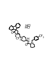 Cl.Cl.O=C(NC1CCN(CCCCC2(C(=O)NCC(F)(F)F)c3ccccc3-c3ccccc32)CC1)C1CCCCN1Cc1ccc(C(F)(F)F)cc1